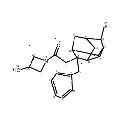 O=C(CC1(Cc2ccccc2)C2CC3CC1CC(C2)C3O)N1CC(O)C1